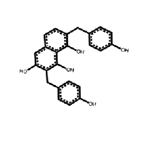 Oc1ccc(Cc2ccc3cc(O)c(Cc4ccc(O)cc4)c(O)c3c2O)cc1